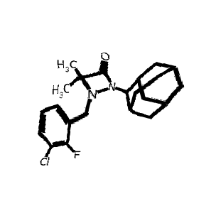 CC1(C)C(=O)N(C2C3CC4CC(C3)CC2C4)N1Cc1cccc(Cl)c1F